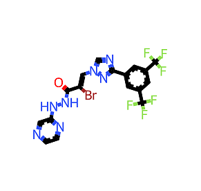 O=C(NNc1cnccn1)/C(Br)=C/n1cnc(-c2cc(C(F)(F)F)cc(C(F)(F)F)c2)n1